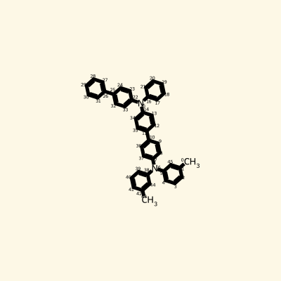 Cc1cccc(N(c2ccc(-c3ccc(N(c4ccccc4)c4ccc(-c5ccccc5)cc4)cc3)cc2)c2cccc(C)c2)c1